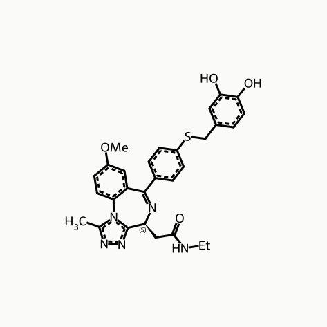 CCNC(=O)C[C@@H]1N=C(c2ccc(SCc3ccc(O)c(O)c3)cc2)c2cc(OC)ccc2-n2c(C)nnc21